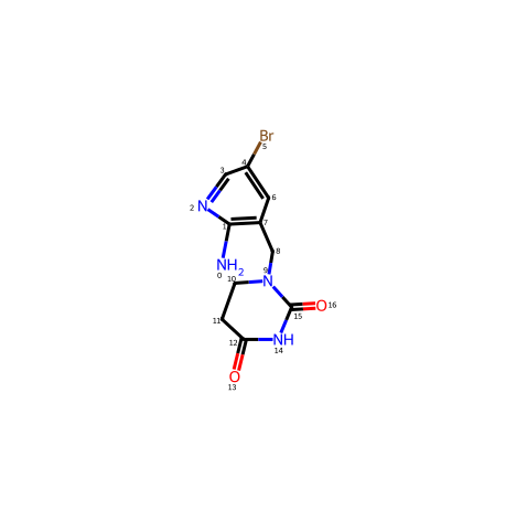 Nc1ncc(Br)cc1CN1CCC(=O)NC1=O